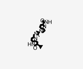 CNC(=O)c1ccc2c(ccn2[C@H]2CN(Cc3ccc4[nH]c(=O)c(C5CC5)cc4n3)[C@@H]2C)n1